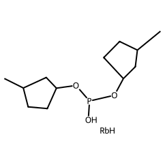 CC1CCC(OP(O)OC2CCC(C)C2)C1.[RbH]